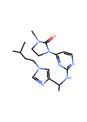 CC(C)CCn1cnc(C(C)Nc2nccc(N3CCN(C)C3=O)n2)c1